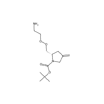 C=C1C[C@@H](COOCCN)N(C(=O)OC(C)(C)C)C1